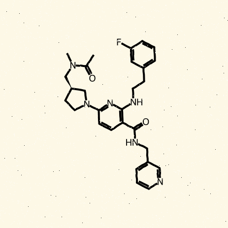 CC(=O)N(C)C[C@@H]1CCN(c2ccc(C(=O)NCc3cccnc3)c(NCCc3cccc(F)c3)n2)C1